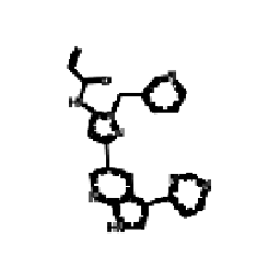 C=CC(=O)Nc1cc(-c2cnc3[nH]cc(-c4ccncn4)c3c2)nn1Cc1cccnc1